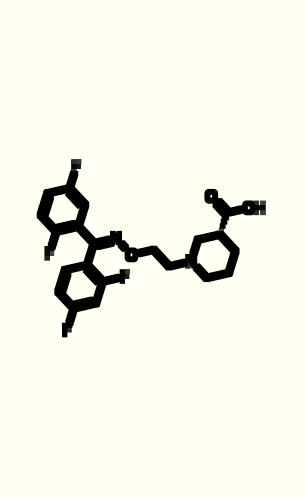 O=C(O)[C@@H]1CCCN(CCO/N=C(\c2ccc(F)cc2F)c2cc(F)ccc2F)C1